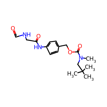 CN(CC(C)(C)C)C(=O)OCc1ccc(NC(=O)CNC=O)cc1